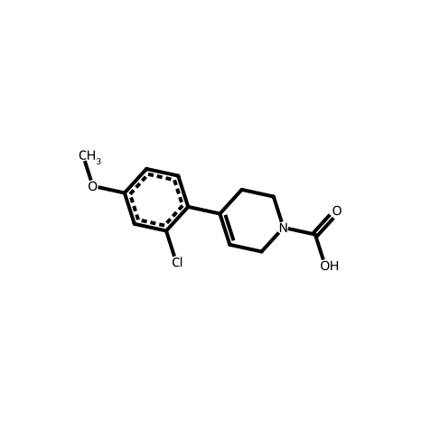 COc1ccc(C2=CCN(C(=O)O)CC2)c(Cl)c1